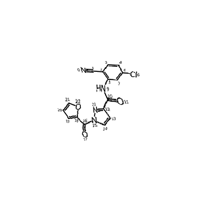 N#Cc1ccc(Cl)cc1NC(=O)c1ccn(C(=O)c2ccco2)n1